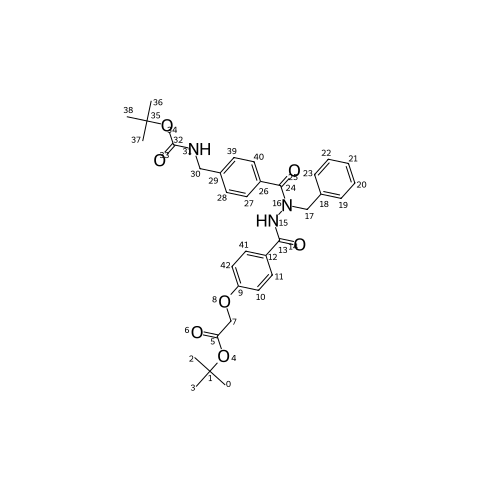 CC(C)(C)OC(=O)COc1ccc(C(=O)NN(Cc2ccccc2)C(=O)c2ccc(CNC(=O)OC(C)(C)C)cc2)cc1